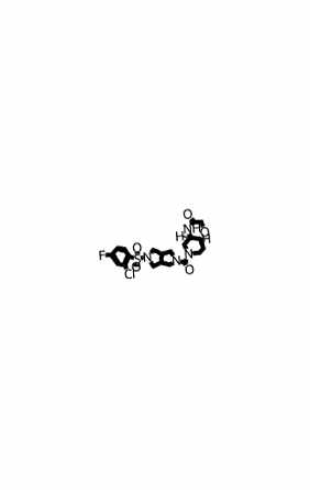 O=C1CO[C@H]2CCN(C(=O)N3CC4CN(S(=O)(=O)c5ccc(F)cc5Cl)CC4C3)C[C@H]2N1